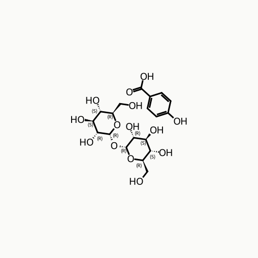 O=C(O)c1ccc(O)cc1.OC[C@H]1O[C@H](O[C@H]2O[C@H](CO)[C@@H](O)[C@H](O)[C@H]2O)[C@H](O)[C@@H](O)[C@@H]1O